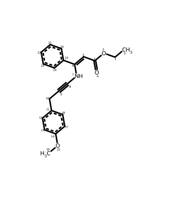 CCOC(=O)/C=C(\NC#CCc1ccc(OC)cc1)c1ccccc1